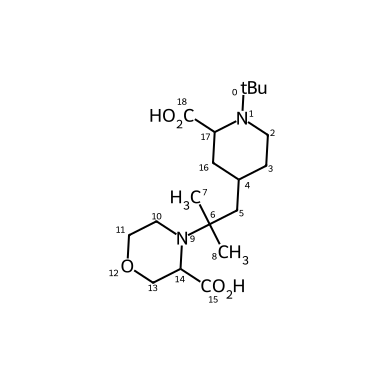 CC(C)(C)N1CCC(CC(C)(C)N2CCOCC2C(=O)O)CC1C(=O)O